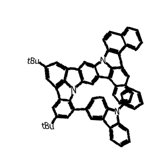 CC(C)(C)c1cc(-c2ccc3c(c2)c2ccccc2n3-c2ccccc2)c2c(c1)c1cc(C(C)(C)C)cc3c4cc5c(cc4n2c31)c1c2ccccc2cc2c3c4ccccc4ccc3n5c21